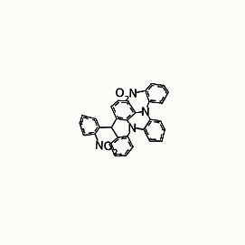 O=[N+]([O-])c1ccccc1C1c2ccccc2N2c3ccccc3N(c3ccccc3[N+](=O)[O-])c3cccc1c32